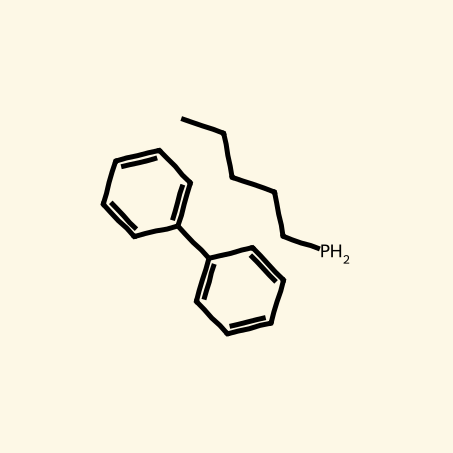 CCCCCP.c1ccc(-c2ccccc2)cc1